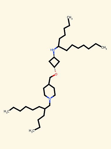 CCCCCCCC(CCCCC)N[C@H]1C[C@H](OCC2CCN(CC(CCCC)CCCCCC)CC2)C1